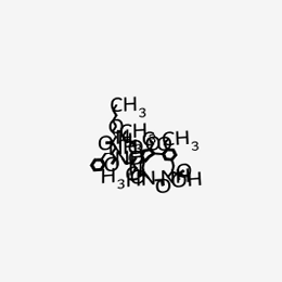 CCCCOC[C@H](C(=O)N[C@H](Cc1ccccc1)C(=O)NCC(=O)N(C)C1C(=O)NCC(=O)NC(C(=O)O)Cc2ccc(OC)c(c2)-c2cc1ccc2OC)N(C)CC=O